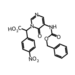 O=C(Nc1cncn(C(C(=O)O)c2ccc([N+](=O)[O-])cc2)c1=O)OCc1ccccc1